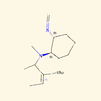 C=N[C@@H]1CCCC[C@H]1N(C)C(C)/C(=C\C)C(C)(C)C